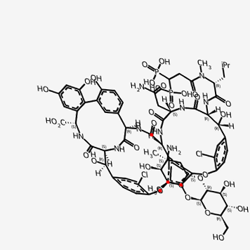 CC(C)C[C@H](C(=O)N[C@H]1C(=O)N[C@@H](CC(N)=O)C(=O)N[C@H]2C(=O)N[C@H]3C(=O)N[C@H](C(=O)N[C@H](C(=O)O)c4cc(O)cc(O)c4-c4cc3ccc4O)[C@H](O)c3ccc(c(Cl)c3)Oc3cc2cc(c3O[C@@H]2O[C@H](CO)[C@@H](O)[C@H](O)[C@H]2O[C@H]2C[C@](C)(N)[C@H](O)[C@H](C)O2)Oc2ccc(cc2Cl)[C@H]1O)N(C)C(=O)CC(P(=O)(O)O)P(=O)(O)O